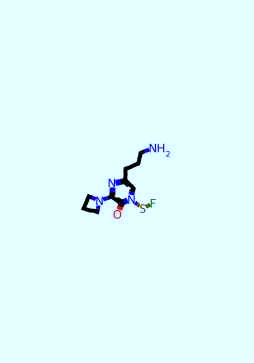 NCCCc1cn(SF)c(=O)c(N2CCC2)n1